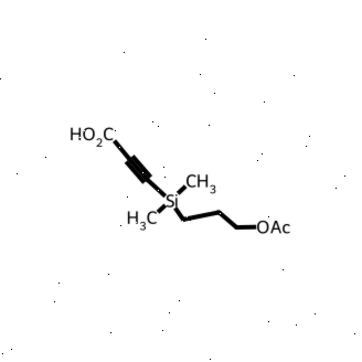 CC(=O)OCCC[Si](C)(C)C#CC(=O)O